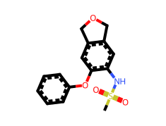 CS(=O)(=O)Nc1cc2c(cc1Oc1ccccc1)COC2